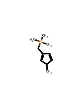 CC1C=CC(CS(C)(C)C)=C1